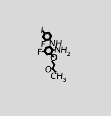 CCC(=O)CCOc1cc(F)cc(Nc2ccc(I)cc2F)c1N